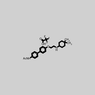 CC(=O)Nc1ccc(-c2ccc(OCCNC3CCC(C)(C)CC3)cc2)cc1.O=C(O)C(F)(F)F